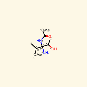 COC(=O)N[C@](N)(C(C)O)[C@H](C)OC